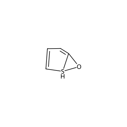 C1=C[SH]2OC2=C1